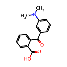 CN(C)c1cccc(C(=O)c2ccccc2C(=O)O)c1